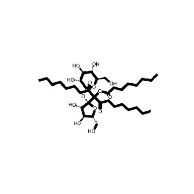 CCCCCCCC(=O)OC(C(=O)CCCCCCC)(C(=O)CCCCCCC)[C@@]1(O[C@H]2O[C@H](CO)[C@@H](O)[C@H](O)[C@H]2O)O[C@H](CO)[C@@H](O)[C@@H]1O